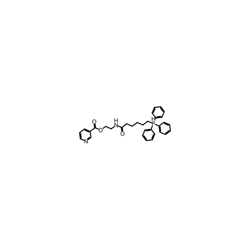 O=C(CCCCC[PH](c1ccccc1)(c1ccccc1)c1ccccc1)NCCOC(=O)c1cccnc1